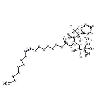 CCCCCCCC/C=C\CCCCCCCC(=O)C[C@H](CC(F)(F)P(=O)(O)O)C(=O)[C@@](OC)(c1ccccc1)C(F)(F)F